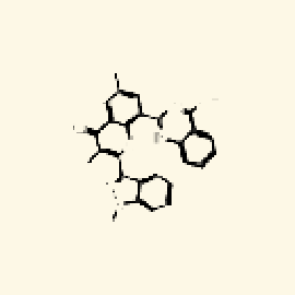 Cc1cc(C(C)Nc2ccccc2C(=O)O)c2oc(-c3nn(C)c4ccccc34)c(C)c(=O)c2c1